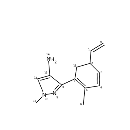 C=CC1C=CC(C)=C(c2nn(C)cc2N)C1